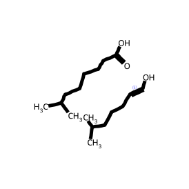 CC(C)CCC/C=C/O.CC(C)CCCCCC(=O)O